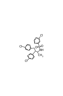 CC(NS(=O)(=O)c1cccc(Cl)c1)C(Cc1ccc(Cl)cc1)c1ccc(Cl)cc1